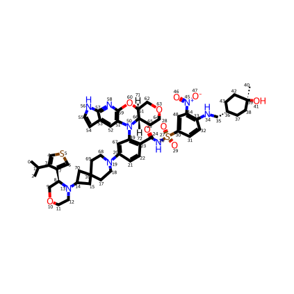 CC(C)c1cscc1[C@@H]1COCCN1C1CC2(CCN(c3ccc(C(=O)NS(=O)(=O)c4ccc(NC[C@H]5CC[C@](C)(O)CC5)c([N+](=O)[O-])c4)c(N4c5cc6cc[nH]c6nc5O[C@H]5COCC[C@@H]54)c3)CC2)C1